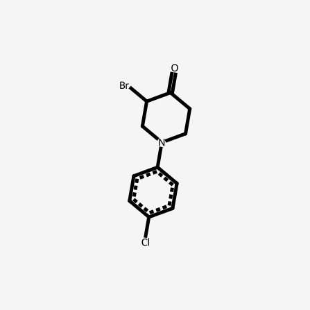 O=C1CCN(c2ccc(Cl)cc2)CC1Br